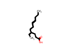 CCCC=CCCC(CC)CCC(=O)O